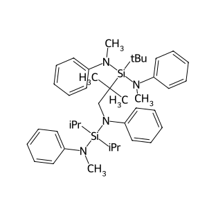 CC(C)[Si](C(C)C)(N(C)c1ccccc1)N(CC(C)(C)[Si](N(C)c1ccccc1)(N(C)c1ccccc1)C(C)(C)C)c1ccccc1